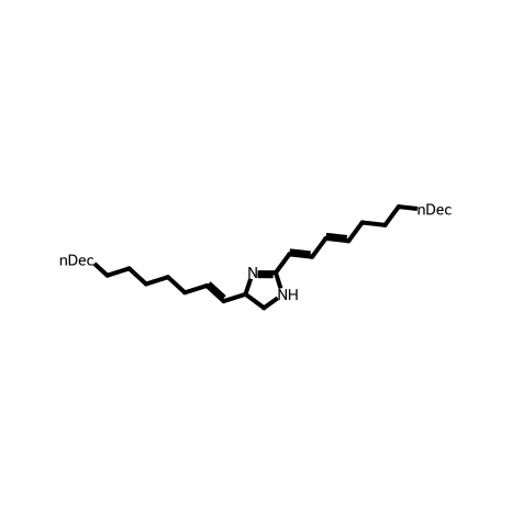 CCCCCCCCCCCCCC=CC=CC1=NC(C=CCCCCCCCCCCCCCCC)CN1